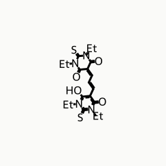 CCN1C(=O)C(=C/C=C/c2c(O)n(CC)c(=S)n(CC)c2=O)C(=O)N(CC)C1=S